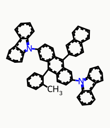 Cc1ccccc1-c1c2ccc(-n3c4ccccc4c4ccccc43)cc2c(-c2ccc3ccccc3c2)c2ccc(-n3c4ccccc4c4ccccc43)cc12